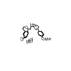 COc1ccc(N2CCNC(CCC3OCCc4cc(Cl)ccc43)C2)cc1.Cl.Cl